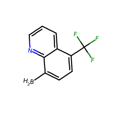 Bc1ccc(C(F)(F)F)c2cccnc12